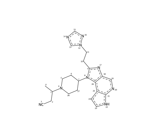 CC(CC#N)N1CCC(n2c(CCn3cncn3)nc3cnc4[nH]ccc4c32)CC1